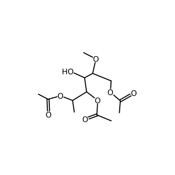 COC(COC(C)=O)C(O)C(OC(C)=O)C(C)OC(C)=O